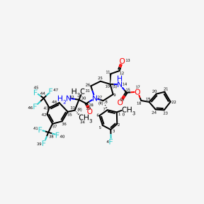 Cc1cc(F)ccc1[C@H]1C[C@@](CC=O)(NC(=O)OCc2ccccc2)CCN1C(=O)C(C)(N)[C@H](C)c1cc(C(F)(F)F)cc(C(F)(F)F)c1